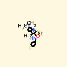 CCSc1nc2cc(N(C)C)ccc2c(C)c1C(=O)NCc1ccc(F)cc1